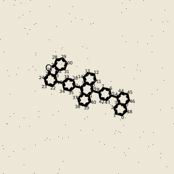 c1ccc2c(-c3ccc(-c4c5ccccc5c(-c5ccc(-c6cccc7oc8ccccc8c67)cc5)c5ccccc45)cc3)cccc2c1